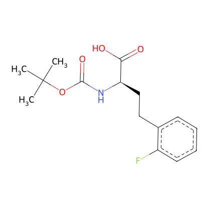 CC(C)(C)OC(=O)N[C@H](CCc1ccccc1F)C(=O)O